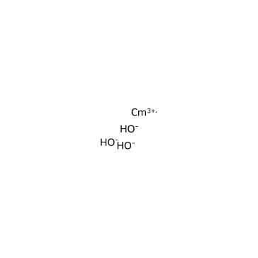 [Cm+3].[OH-].[OH-].[OH-]